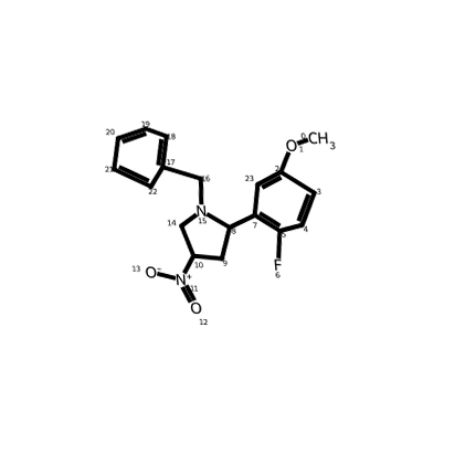 COc1ccc(F)c(C2CC([N+](=O)[O-])CN2Cc2ccccc2)c1